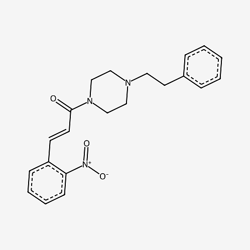 O=C(C=Cc1ccccc1[N+](=O)[O-])N1CCN(CCc2ccccc2)CC1